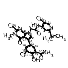 CN(C)c1cc(NC(=O)Cn2cc(-c3cc(Cl)c(O)c(C(N)=O)c3)c3c(=O)n(C)c(Cl)nc32)c(Cl)cn1